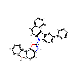 c1ccc(-c2ccc3c(c2)c2c4ccccc4ccc2n3-c2nc3ccc4sc5ccccc5c4c3o2)cc1